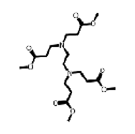 COC(=O)CCN(CCC(=O)OC)CCN(CCC(=O)OC)CCC(=O)OC